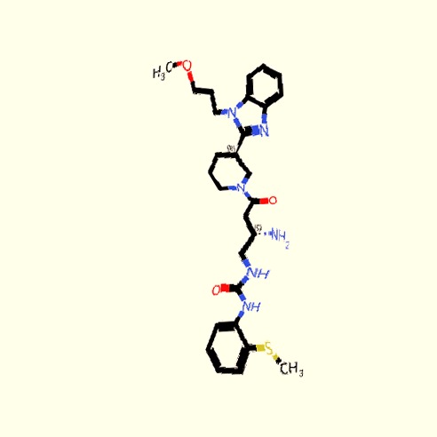 COCCCn1c([C@@H]2CCCN(C(=O)C[C@H](N)CNC(=O)Nc3ccccc3SC)C2)nc2ccccc21